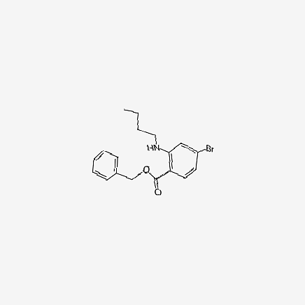 CCCCNc1cc(Br)ccc1C(=O)OCc1ccccc1